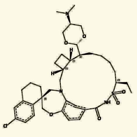 CC[C@@H]1CCCC[C@H]([C@H]2OC[C@H](N(C)C)CO2)[C@H]2CC[C@H]2CN2C[C@@]3(CCCc4cc(Cl)ccc43)COc3ccc(cc32)C(=O)NS1(=O)=O